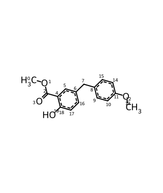 COC(=O)c1cc(Cc2ccc(OC)cc2)ccc1O